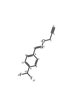 C#CCON=[C]c1ccc(C(F)F)cc1